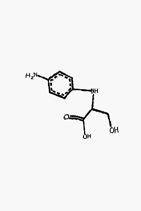 Nc1ccc(NC(CO)C(=O)O)cc1